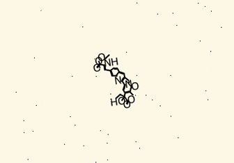 CCC1(O)C(=O)OCc2c1cc1n(c2=O)Cc2cc3ccc(C=C(NC(C)=O)C(=O)OC)cc3nc2-1